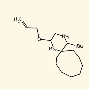 C=CCOC1CNC(C(C)(C)C)C2(CCCCCCCC2)N1